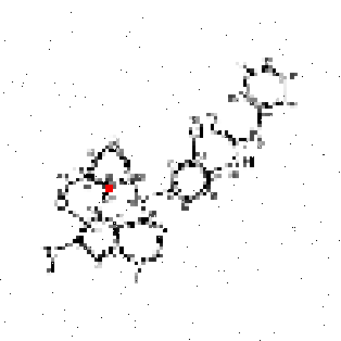 COc1cc2ncnc(N(c3ccccc3)c3ccc(NC(=O)Nc4ccccn4)c(Cl)c3)c2c2c1OCCO2